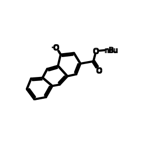 CCCCOC(=O)c1cc([O])c2cc3ccccc3cc2c1